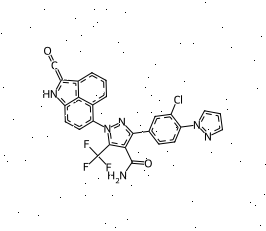 NC(=O)c1c(-c2ccc(-n3cccn3)c(Cl)c2)nn(-c2ccc3[nH]c(=C=O)c4cccc2c34)c1C(F)(F)F